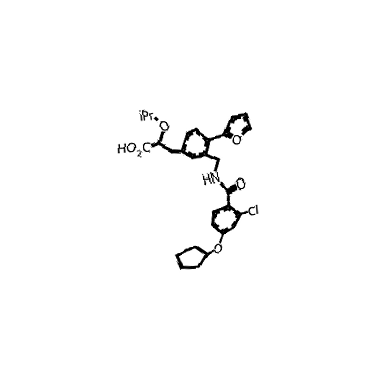 CC(C)OC(Cc1ccc(-c2ccco2)c(CNC(=O)c2ccc(OC3CCCC3)cc2Cl)c1)C(=O)O